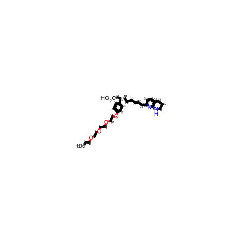 CC(C)(C)CCOCCOCCOCCOc1ccc([C@@H](CCCCCCc2ccc3c(n2)NCCC3)CC(=O)O)cc1